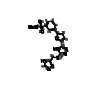 CNS(=O)(=O)c1cccc(-c2ccc(-c3nnc(SCc4nnc[nH]4)[nH]3)o2)c1